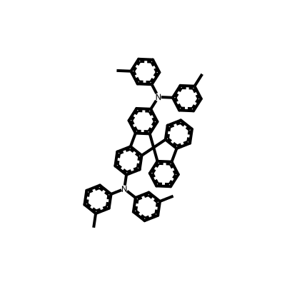 Cc1cccc(N(c2cccc(C)c2)c2ccc3c(c2)C2(c4ccccc4-c4ccccc42)c2cc(N(c4cccc(C)c4)c4cccc(C)c4)ccc2-3)c1